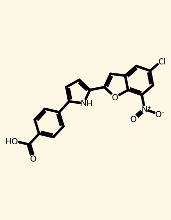 O=C(O)c1ccc(-c2ccc(-c3cc4cc(Cl)cc([N+](=O)[O-])c4o3)[nH]2)cc1